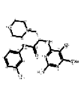 CSc1nc(N)nc(N[C@@H](CN2CCOCC2)C(=O)Nc2cccc(C(F)(F)F)c2)c1C#N